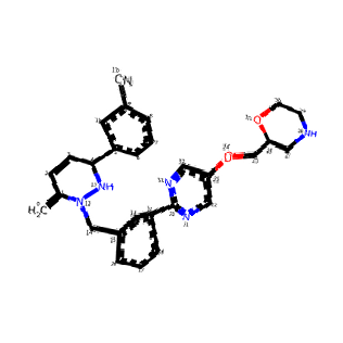 C=C1C=CC(c2cccc(C#N)c2)NN1Cc1cccc(-c2ncc(OCC3CNCCO3)cn2)c1